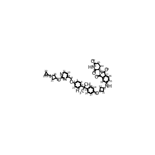 CC(C)(c1ccc(OCc2ccnc(OC3CN(C4CC4)C3)n2)cc1)c1ccc(O[C@H]2C[C@@H](Nc3ccc4c(c3)C(=O)N(C3CCC(=O)NC3=O)C4=O)C2)cc1